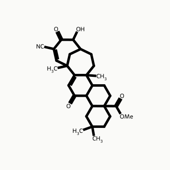 COC(=O)C12CCC3C(C(=O)C=C4C5(C)C=C(C#N)C(=O)C(O)C(CCC43C)C5)C1CC(C)(C)CC2